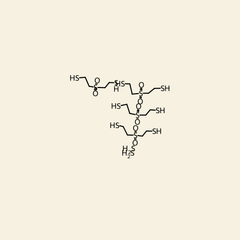 O=S(=O)(CCS)CCS.O=S(=O)(CCS)CCS.O=S(=O)(CCS)CCS.O=S(=O)(CCS)CCS.S.S